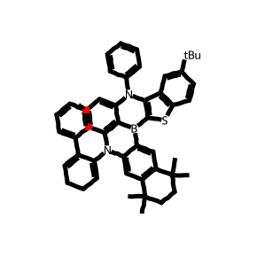 Cc1cc2c3c(c1)N(c1ccccc1)c1c(sc4ccc(C(C)(C)C)cc14)B3c1cc3c(cc1N2C1=CCCC=C1c1ccccc1)C(C)(C)CCC3(C)C